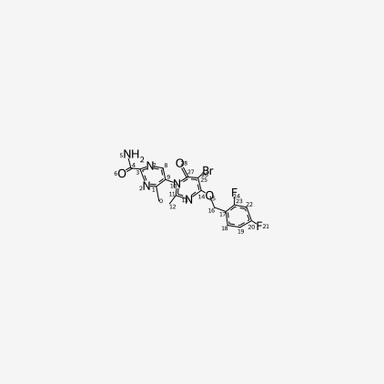 Cc1nc(C(N)=O)ncc1-n1c(C)nc(OCc2ccc(F)cc2F)c(Br)c1=O